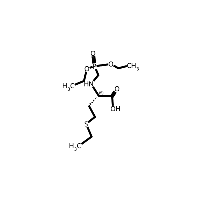 CCOP(=O)(CN[C@@H](CCSCC)C(=O)O)OCC